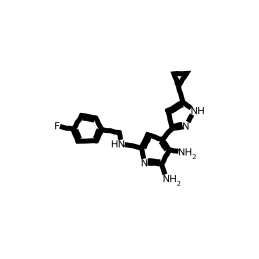 Nc1nc(NCc2ccc(F)cc2)cc(-c2cc(C3CC3)[nH]n2)c1N